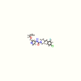 CC(C)(C)[Si](C)(C)OCc1cc(NC(=O)N2CCC(=Cc3ccc(Cl)cc3F)CC2)ccn1